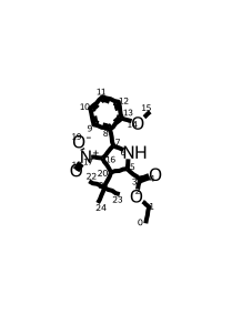 CCOC(=O)C1NC(c2ccccc2OC)C([N+](=O)[O-])C1C(C)(C)C